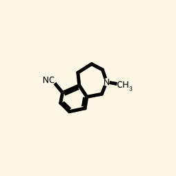 CN1CCCc2c(C#N)cccc2C1